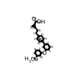 COc1cccc(Oc2cccc(C34CCC(CCC5CC5C(=O)O)(CC3)CO4)c2)c1